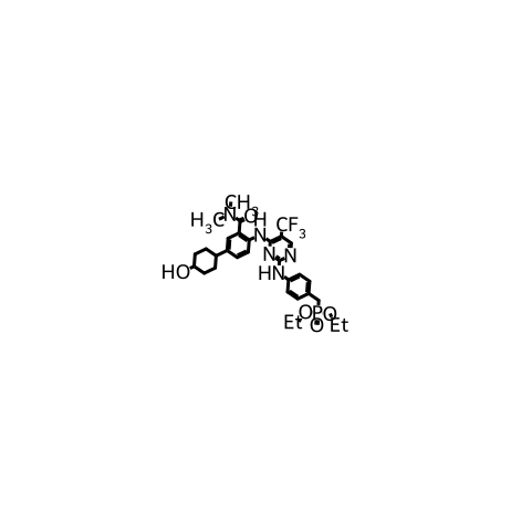 CCOP(=O)(Cc1ccc(Nc2ncc(C(F)(F)F)c(Nc3ccc(C4CCC(O)CC4)cc3C(=O)N(C)C)n2)cc1)OCC